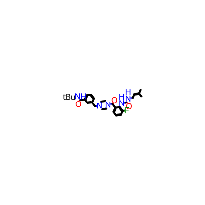 CC(C)=CCNC(=O)Nc1c(F)cccc1C(=O)N1CCN(Cc2cccc(C(=O)NC(C)(C)C)c2)CC1